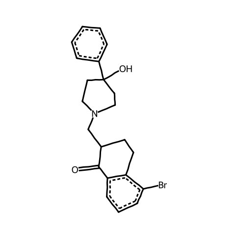 O=C1c2cccc(Br)c2CCC1CN1CCC(O)(c2ccccc2)CC1